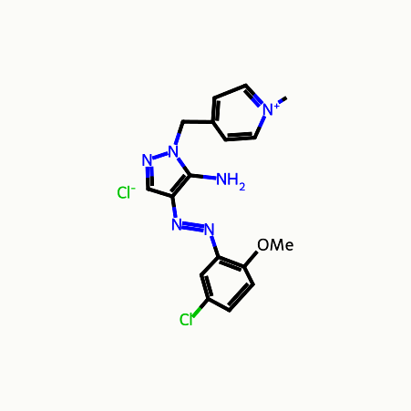 COc1ccc(Cl)cc1N=Nc1cnn(Cc2cc[n+](C)cc2)c1N.[Cl-]